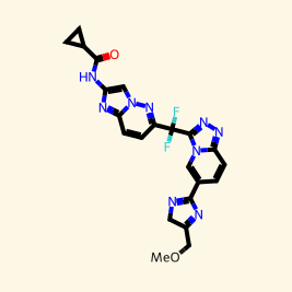 COCC1=NC(c2ccc3nnc(C(F)(F)c4ccc5nc(NC(=O)C6CC6)cn5n4)n3c2)=NC1